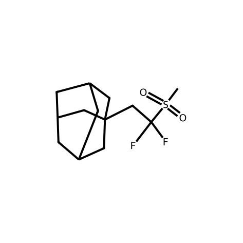 CS(=O)(=O)C(F)(F)CC12CC3CC(CC(C3)C1)C2